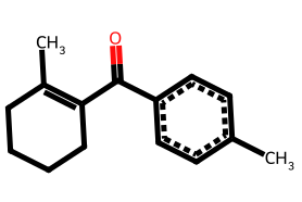 CC1=C(C(=O)c2ccc(C)cc2)CCCC1